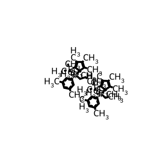 CCC[Si](C)(c1cc(C)cc(C)c1)C1(C)C(C)=C(C)C(C)=[C]1[Ti]([CH3])([CH3])[CH3].CC[Si](C)(c1cc(C)cc(C)c1)C1(C)C(C)=C(C)C(C)=[C]1[Ti]([CH3])([CH3])[CH3]